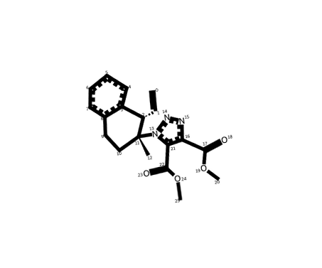 C=C[C@H]1c2ccccc2CC[C@@]1(C)n1nnc(C(=O)OC)c1C(=O)OC